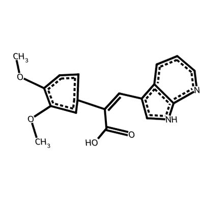 COc1ccc(/C(=C/c2c[nH]c3ncccc23)C(=O)O)cc1OC